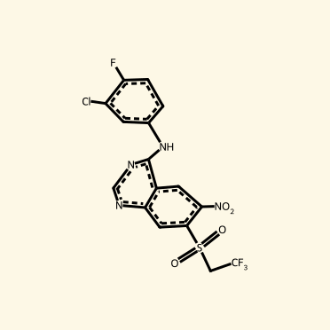 O=[N+]([O-])c1cc2c(Nc3ccc(F)c(Cl)c3)ncnc2cc1S(=O)(=O)CC(F)(F)F